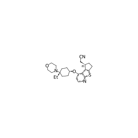 CC[C@]1(N2CCOCC2)CC[C@H](Oc2ccnc3sc4c(c23)[C@@H](CC#N)CC4)CC1